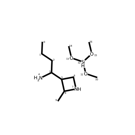 CCCC(N)C1CNC1C.CO[SiH](OC)OC